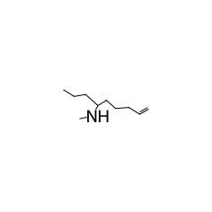 C=CCCCC(CCC)NC